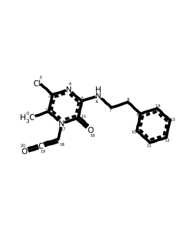 Cc1c(Cl)nc(NCCc2ccccc2)c(=O)n1C=C=O